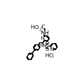 Cl.O=C(O)CNc1cccc(C(Cc2ccc(-c3ccccc3)cc2)NS(=O)(=O)c2ccccn2)n1